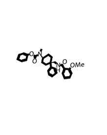 COc1ccccc1C(=O)NC[C@]1(c2ccccc2)CC[C@H](N(C)C(=O)Oc2ccccc2)CC1